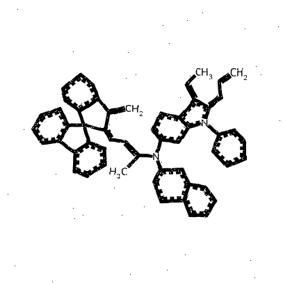 C=C/C=c1\c(=C/C)c2ccc(N(/C(C)=C/C=C3\C(=C)c4ccccc4C34c3ccccc3-c3ccccc34)c3ccc4ccccc4c3)cc2n1-c1ccccc1